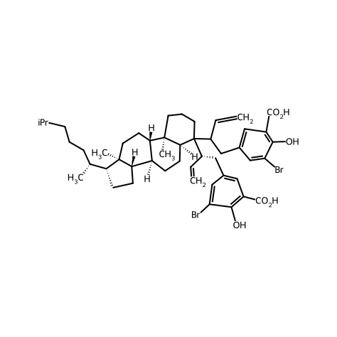 C=CC(Cc1cc(Br)c(O)c(C(=O)O)c1)C1([C@@H](C=C)Cc2cc(Br)c(O)c(C(=O)O)c2)CCC[C@@]2(C)[C@@H]1CC[C@@H]1[C@@H]2CC[C@]2(C)[C@@H]([C@H](C)CCCC(C)C)CC[C@@H]12